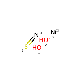 [Ni+2].[OH-].[OH-].[S]=[Ni]